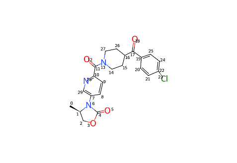 C[C@@H]1COC(=O)N1c1ccc(C(=O)N2CCC(C(=O)c3ccc(Cl)cc3)CC2)nc1